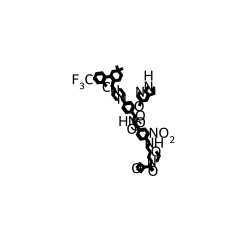 CC1(C)CCC(CN2CCN(c3ccc(C(=O)NS(=O)(=O)c4ccc(NCC5CN(C(=O)C6COC6)CCO5)c([N+](=O)[O-])c4)c(Oc4cnc5[nH]ccc5c4)c3)CC2)=C(c2ccc(C(F)(F)F)cc2Cl)C1